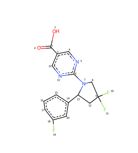 O=C(O)c1cnc(N2CC(F)(F)CC2c2cccc(F)c2)nc1